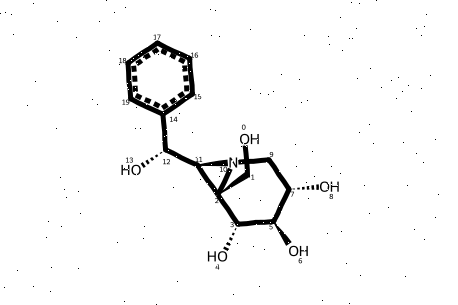 OC[C@]12[C@@H](O)[C@H](O)[C@@H](O)CN1[C@@H]2[C@H](O)c1ccccc1